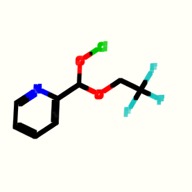 FC(F)(F)COC(OCl)c1ccccn1